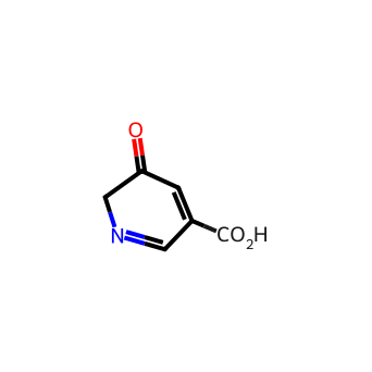 O=C1C=C(C(=O)O)C=NC1